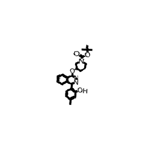 Cc1ccc(-c2nnc(O[C@@H]3CCCN(C(=O)OC(C)(C)C)C3)c3ccccc23)c(O)c1